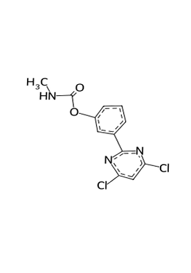 CNC(=O)Oc1cccc(-c2nc(Cl)cc(Cl)n2)c1